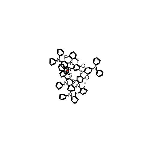 Fc1cccc(F)c1N1c2cc3c(cc2B2c4sc5ccccc5c4Oc4cc(N(c5ccccc5)c5ccccc5)cc1c42)B1c2cc4c(cc2Oc2cc(N(c5ccccc5)c5ccccc5)cc(c21)O3)N(c1c(F)cccc1F)c1cc(N(c2ccccc2)c2ccccc2)cc2c1B4c1sc3ccccc3c1N2c1ccccc1